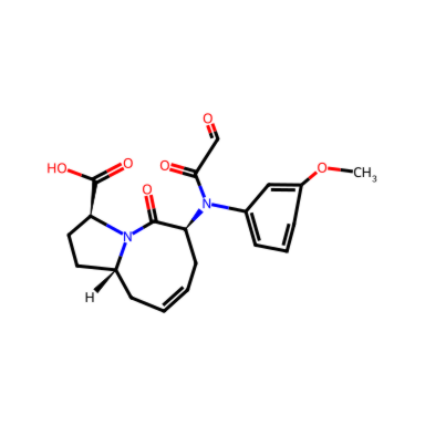 COc1cccc(N(C(=O)C=O)[C@H]2CC=CC[C@@H]3CC[C@@H](C(=O)O)N3C2=O)c1